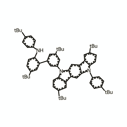 CC(C)(C)c1ccc(Nc2ccc(C(C)(C)C)cc2-c2cc(-n3c4ccc(C(C)(C)C)cc4c4cc5c(cc43)c3cc(C(C)(C)C)ccc3n5-c3ccc(C(C)(C)C)cc3)cc(C(C)(C)C)c2)cc1